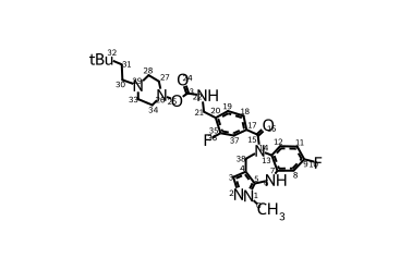 Cn1ncc2c1Nc1cc(F)ccc1N(C(=O)c1ccc(CNC(=O)ON3CCN(CCC(C)(C)C)CC3)c(F)c1)C2